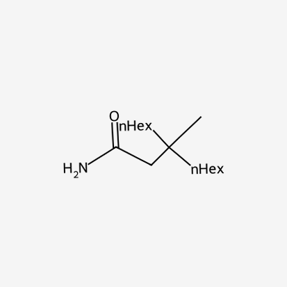 CCCCCCC(C)(CCCCCC)CC(N)=O